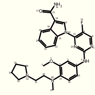 COc1cc(Nc2ncc(F)c(-n3cc(C(N)=O)c4ccccc43)n2)ccc1N(C)CCN1CCCC1